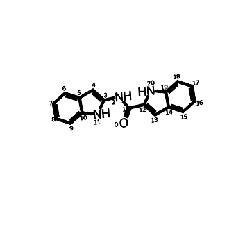 O=C(Nc1cc2ccccc2[nH]1)c1cc2ccccc2[nH]1